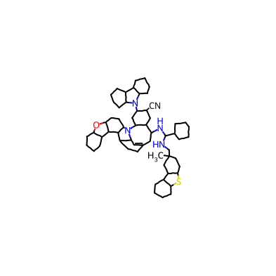 CC1(CNC(NC2CC3=CC4C(CC3)C3C5C(CCC3N4C3CC(N4C6CCCCC6C6CCCCC64)C(C#N)CC23)OC2CCCCC25)C2CCCCC2)CCC2SC3CCCCC3C2C1